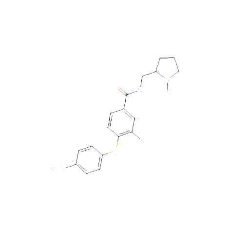 CCN1CCCC1CNC(=O)c1ccc(Sc2ccc(OC)cc2)c([N+](=O)[O-])c1